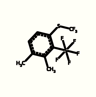 Cc1ccc(SC(F)(F)F)c(S(F)(F)(F)(F)F)c1C